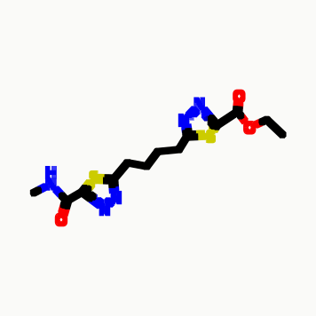 CCOC(=O)c1nnc(CCCCc2nnc(C(=O)NC)s2)s1